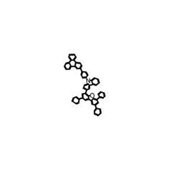 c1ccc(-c2cc(-c3ccccc3)c3oc4c(-c5ccc6c(c5)c5ccccc5n6-c5ccc(-c6ccc7c8ccccc8c8ccccc8c7c6)cc5)cc(-c5ccccc5)cc4c3c2)cc1